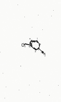 N#Cc1[c]c(Cl)ccc1